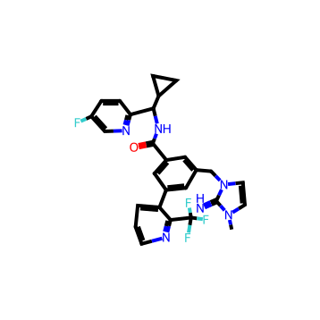 Cn1ccn(Cc2cc(C(=O)NC(c3ccc(F)cn3)C3CC3)cc(-c3cccnc3C(F)(F)F)c2)c1=N